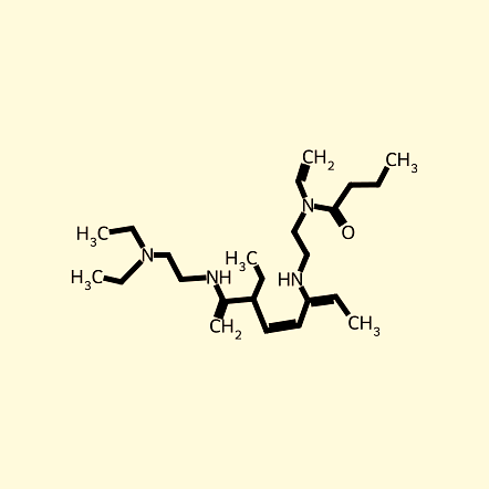 C=CN(CCNC(/C=C\C(CC)C(=C)NCCN(CC)CC)=C/C)C(=O)CCC